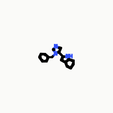 c1ccc(Cn2cncc2-c2cc3ccccc3[nH]2)cc1